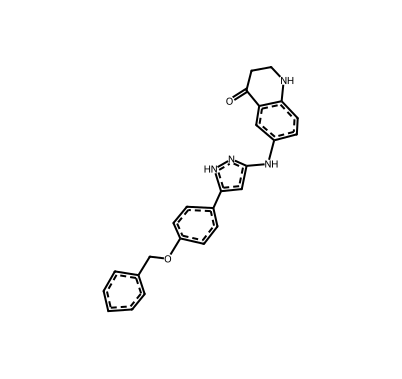 O=C1CCNc2ccc(Nc3cc(-c4ccc(OCc5ccccc5)cc4)[nH]n3)cc21